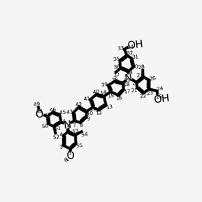 COc1ccc(N(c2ccc(-c3ccc(-c4ccc(N(c5ccc(CO)cc5C)c5ccc(CO)cc5C)cc4)cc3)cc2)c2ccc(OC)cc2C)c(C)c1